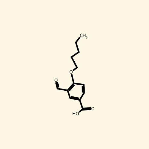 CCCCCOc1ccc(C(=O)O)cc1C=O